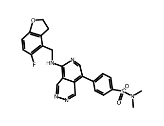 CN(C)S(=O)(=O)c1ccc(-c2cnc(NCc3c(F)ccc4c3CCO4)c3cnncc23)cc1